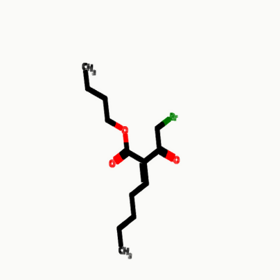 CCCCC=C(C(=O)CBr)C(=O)OCCCC